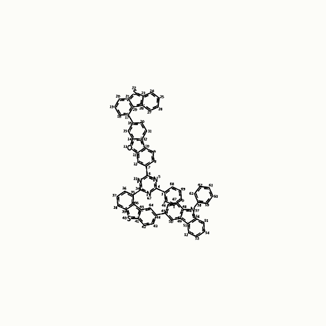 c1ccc(-c2nc(-c3ccc4c(c3)oc3cc(-c5cccc6sc7ccccc7c56)ccc34)nc(-c3cccc4sc5ccc(-c6ccc7c(c6)c6ccccc6n7-c6ccccc6)cc5c34)n2)cc1